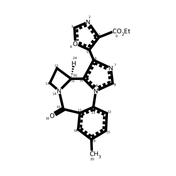 CCOC(=O)c1ncoc1-c1ncn2c1[C@@H]1CCN1C(=O)c1cc(C)ccc1-2